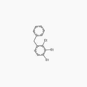 CCc1ccc(Cc2ccccc2)c(CC)c1CC